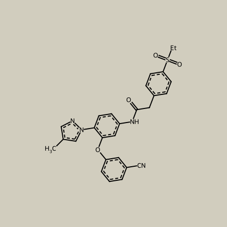 CCS(=O)(=O)c1ccc(CC(=O)Nc2ccc(-n3cc(C)cn3)c(Oc3cccc(C#N)c3)c2)cc1